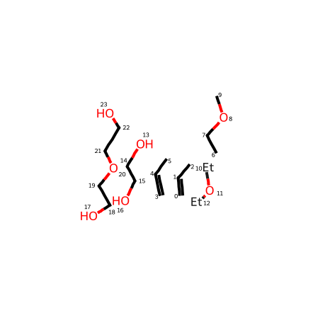 C=CC.C=CC.CCOC.CCOCC.OCCO.OCCOCCO